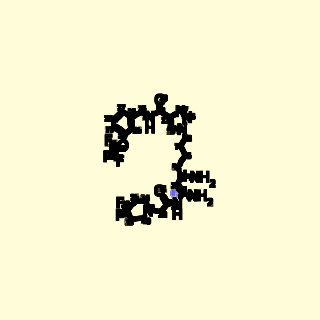 N/C(=C\N(N)CCCCn1cc(C(=O)NCc2cccc(OC(F)(F)F)c2)nn1)NC(=O)CN1CCC(F)(F)CC1